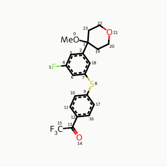 COC1(c2cc(F)cc(Sc3ccc(C(=O)C(F)(F)F)cc3)c2)CCOCC1